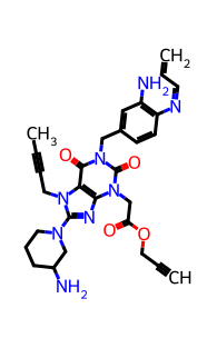 C#CCOC(=O)Cn1c(=O)n(Cc2ccc(/N=C\C=C)c(N)c2)c(=O)c2c1nc(N1CCCC(N)C1)n2CC#CC